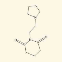 O=C1CCCC(=O)N1CCN1CCCC1